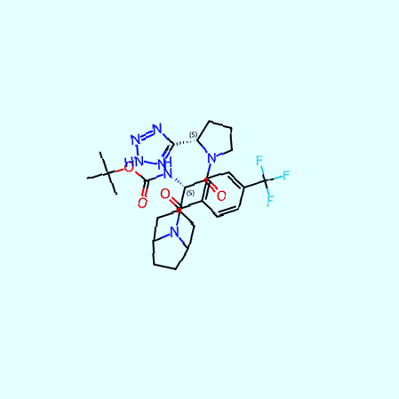 CC(C)(C)OC(=O)N[C@H](C(=O)N1CCC[C@H]1c1nn[nH]n1)C1CC2CCC(C1)N2C(=O)c1ccc(C(F)(F)F)cc1